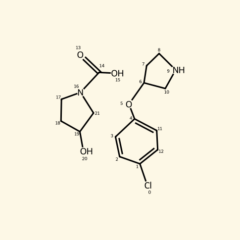 Clc1ccc(OC2CCNC2)cc1.O=C(O)N1CCC(O)C1